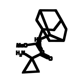 COC(=O)C12CC3CC(C1)C(NC(=O)C1(N)CC1)C(C3)C2